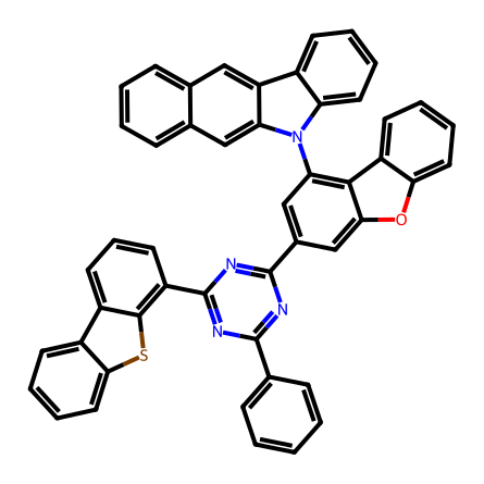 c1ccc(-c2nc(-c3cc(-n4c5ccccc5c5cc6ccccc6cc54)c4c(c3)oc3ccccc34)nc(-c3cccc4c3sc3ccccc34)n2)cc1